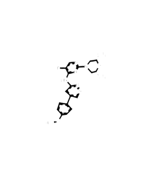 COc1ccc(-c2cnnc(Nc3nc(N4C[C@@H](C)O[C@@H](C)C4)ncc3F)c2)cc1